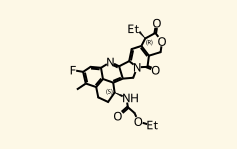 CCOCC(=O)N[C@H]1CCc2c(C)c(F)cc3nc4c(c1c23)Cn1c-4cc2c(c1=O)COC(=O)[C@@H]2CC